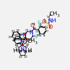 CCNS(=O)(=O)c1ccc(F)c(C(=O)N2CCC(CCN3[C@@H]4CC[C@H]3CC(n3c(C)nc5ccccc53)C4)(c3ccccc3)CC2)c1F